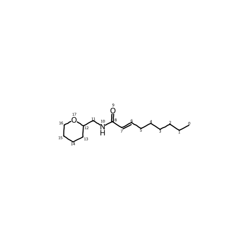 CCCCCCC=CC(=O)NCC1CCCCO1